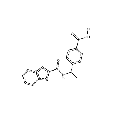 CC(NC(=O)c1cn2ccccc2n1)c1ccc(C(=O)NO)cc1